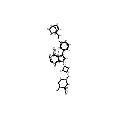 CN1CCN(C[C@H]2C[C@@H](n3cc(-c4cccc(OCC56CCC(CC5)O6)c4)c4c(N)ncnc43)C2)CC1=O